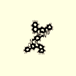 N#Cc1cc(-n2c3cc4oc5ccccc5c4cc3c3c4ccccc4ccc32)c(C#N)cc1-n1c2cc3oc4ccccc4c3cc2c2c3ccccc3ccc21